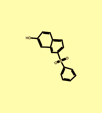 O=S(=O)(c1ccccc1)c1ccc2ccc(O)cc2c1